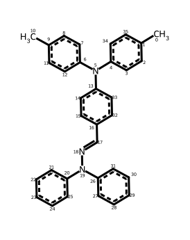 Cc1ccc(N(c2ccc(C)cc2)c2ccc(C=NN(c3ccccc3)c3ccccc3)cc2)cc1